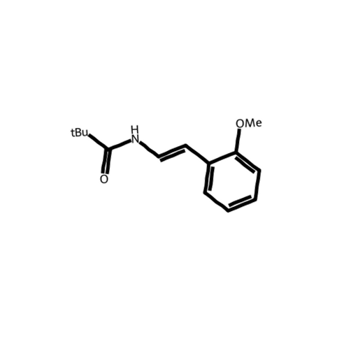 COc1ccccc1C=CNC(=O)C(C)(C)C